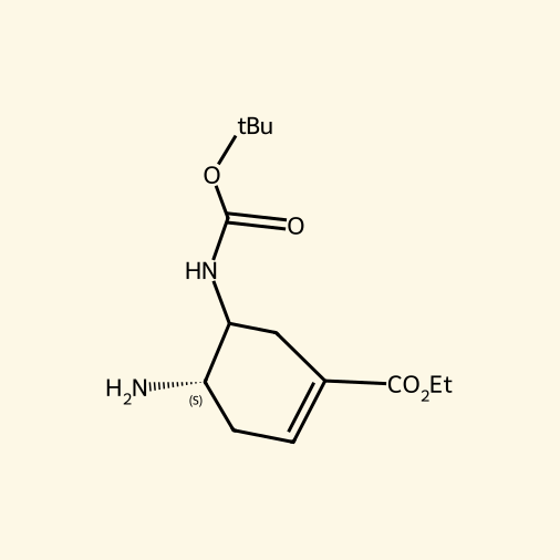 CCOC(=O)C1=CC[C@H](N)C(NC(=O)OC(C)(C)C)C1